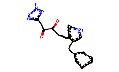 O=C(Cc1c[nH]cc1Cc1ccccc1)C(=O)c1nn[nH]n1